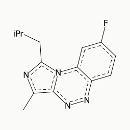 Cc1nc(CC(C)C)n2c1nnc1ccc(F)cc12